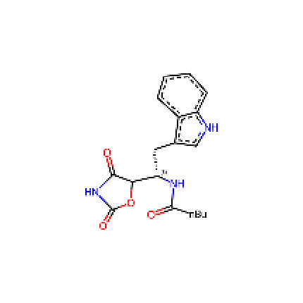 CCCCC(=O)N[C@@H](Cc1c[nH]c2ccccc12)C1OC(=O)NC1=O